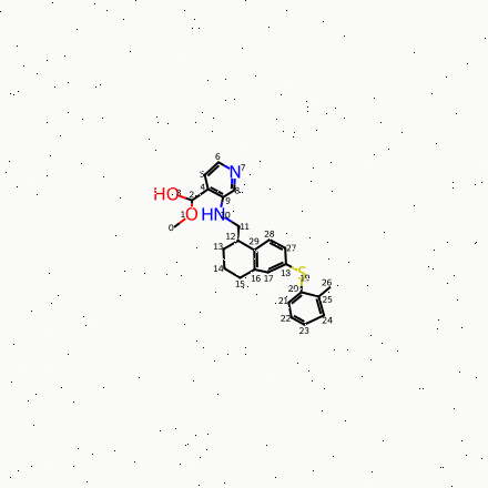 COC(O)c1ccncc1NC[C@@H]1CCCc2cc(Sc3ccccc3C)ccc21